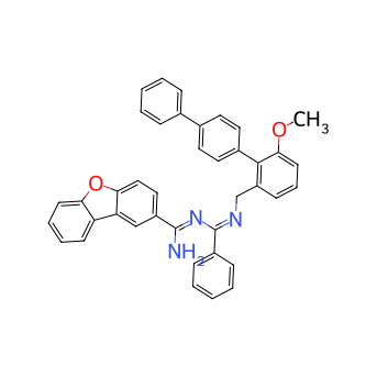 COc1cccc(C/N=C(\N=C(/N)c2ccc3oc4ccccc4c3c2)c2ccccc2)c1-c1ccc(-c2ccccc2)cc1